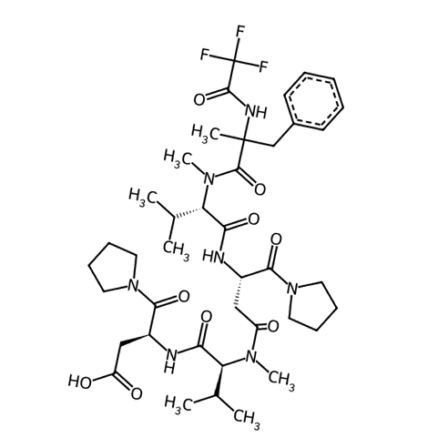 CC(C)[C@@H](C(=O)N[C@@H](CC(=O)O)C(=O)N1CCCC1)N(C)C(=O)C[C@H](NC(=O)[C@H](C(C)C)N(C)C(=O)C(C)(Cc1ccccc1)NC(=O)C(F)(F)F)C(=O)N1CCCC1